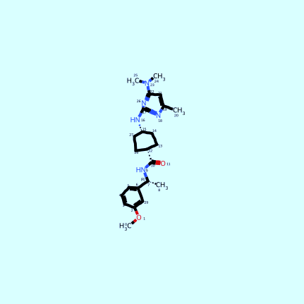 COc1cccc([C@@H](C)NC(=O)[C@H]2CC[C@@H](Nc3nc(C)cc(N(C)C)n3)CC2)c1